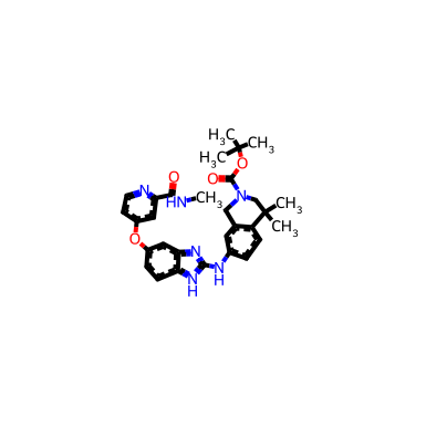 CNC(=O)c1cc(Oc2ccc3[nH]c(Nc4ccc5c(c4)CN(C(=O)OC(C)(C)C)CC5(C)C)nc3c2)ccn1